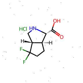 Cl.O=C(O)[C@H]1NC[C@@H]2[C@@H]1CCC2(F)F